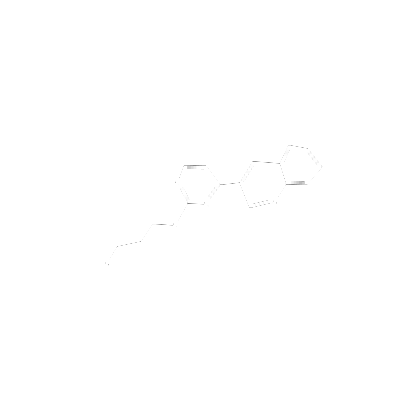 NCCCNc1nccc(-c2cnc3ccccc3c2)n1